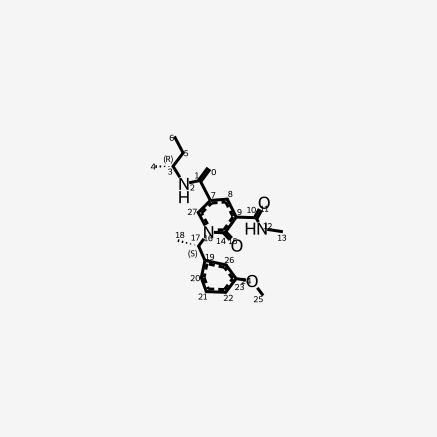 C=C(N[C@H](C)CC)c1cc(C(=O)NC)c(=O)n([C@@H](C)c2cccc(OC)c2)c1